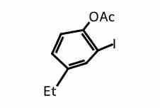 CCc1ccc(OC(C)=O)c(I)c1